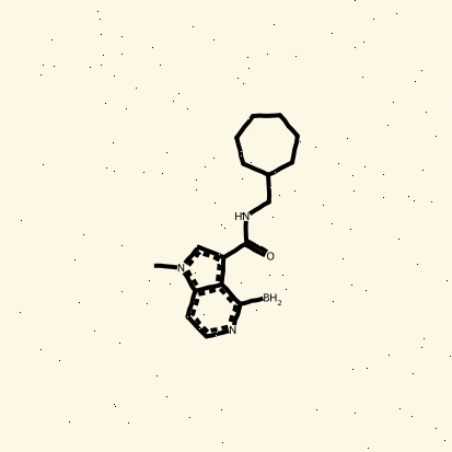 Bc1nccc2c1c(C(=O)NCC1CCCCCC1)cn2C